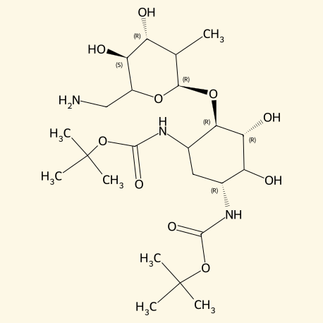 CC1[C@@H](O[C@@H]2C(NC(=O)OC(C)(C)C)C[C@@H](NC(=O)OC(C)(C)C)C(O)[C@H]2O)OC(CN)[C@@H](O)[C@@H]1O